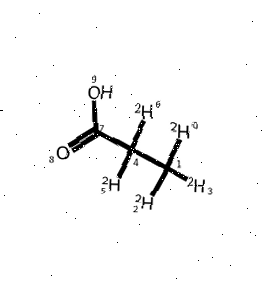 [2H]C([2H])([2H])C([2H])([2H])C(=O)O